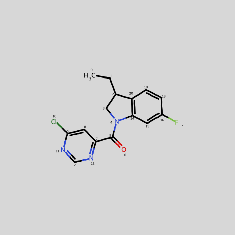 CCC1CN(C(=O)c2cc(Cl)ncn2)c2cc(F)ccc21